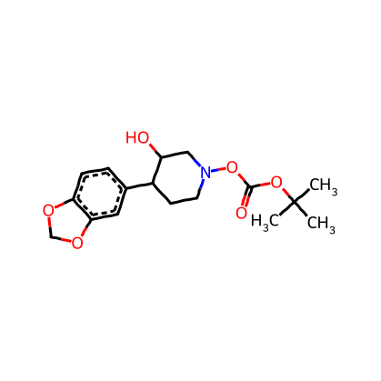 CC(C)(C)OC(=O)ON1CCC(c2ccc3c(c2)OCO3)C(O)C1